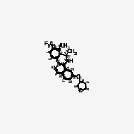 Cc1c([C@@H](C)Nc2nncc3ccc(OC4CCOC4)cc23)cccc1C(F)(F)F